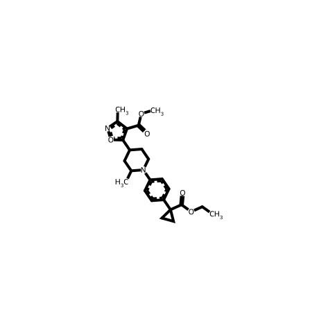 CCOC(=O)C1(c2ccc(N3CCC(c4onc(C)c4C(=O)OC)CC3C)cc2)CC1